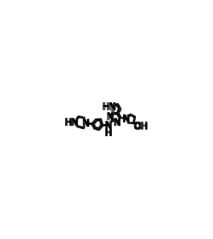 OC1CCN(c2nc(Nc3ccc(N4CCNCC4)cc3)nc3[nH]ccc23)C1